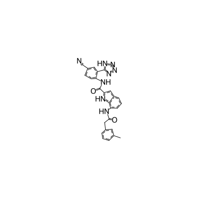 Cc1cccc(CC(=O)Nc2cccc3cc(C(=O)Nc4ccc(C#N)cc4-c4nnn[nH]4)[nH]c23)c1